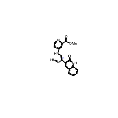 COC(=O)c1cc(N/C=C(\N=N)c2cc3ccccc3[nH]c2=O)ccn1